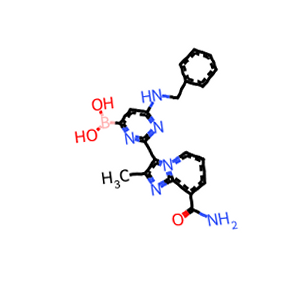 Cc1nc2c(C(N)=O)cccn2c1-c1nc(NCc2ccccc2)cc(B(O)O)n1